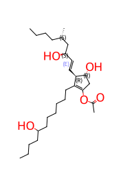 CCCCC(O)CCCCCCC1=C(OC(C)=O)C[C@@H](O)[C@@H]1/C=C/[C@@H](O)C[C@@H](C)CCCC